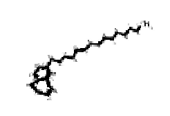 CCCCCCCCCCCCCCCc1ccc2ccccc2c1